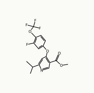 COC(=O)c1cnc(C(C)C)cc1Oc1ccc(OC(F)(F)F)c(F)c1